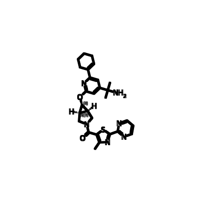 Cc1nc(-c2ncccn2)sc1C(=O)N1C[C@@H]2[C@H](C1)[C@@H]2Oc1cc(C(C)(C)N)cc(C2=CCCCC2)n1